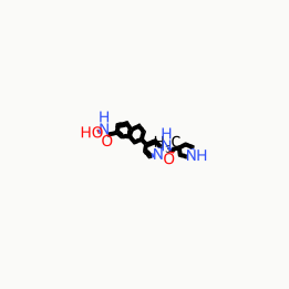 CC1(C(=O)Nc2cc(C3CCc4ccc(C(=O)NO)cc4C3)ccn2)CCNCC1